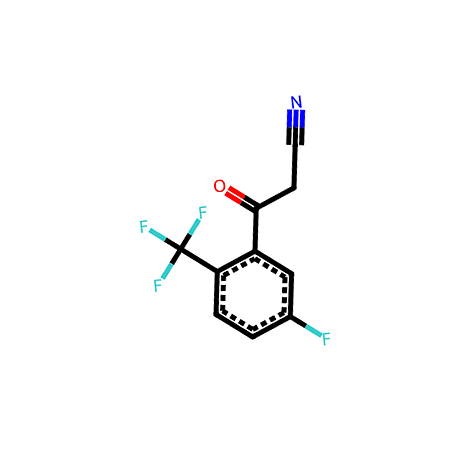 N#CCC(=O)c1cc(F)ccc1C(F)(F)F